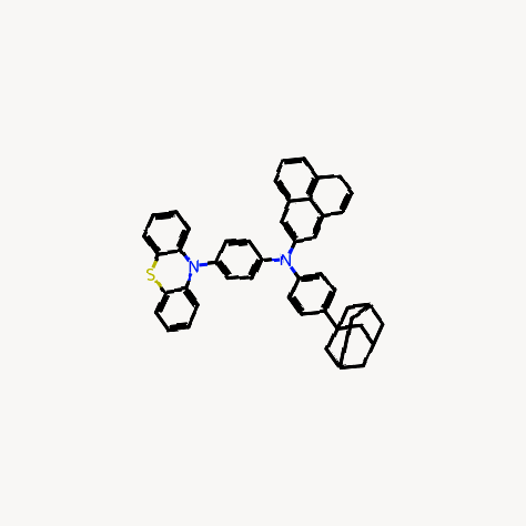 C1=Cc2cc(N(c3ccc(N4c5ccccc5Sc5ccccc54)cc3)c3ccc(C45CC6CC(CC(C6)C4)C5)cc3)cc3cccc(c23)C1